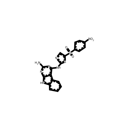 Nc1nc(Nc2ncc(S(=O)(=O)c3ccc([N+](=O)[O-])cc3)s2)c2c(n1)[nH]c1ccccc12